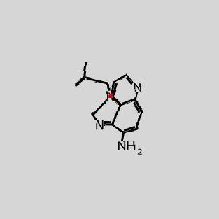 CC(C)CN1CN=C2C(N)=CC=C3N=CC=CC321